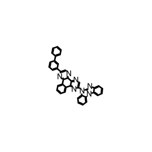 c1ccc(-c2cccc(-c3cnc4c(n3)c3ccccc3c3nc(-n5c6ccccc6n6c7ccccc7nc56)cnc34)c2)cc1